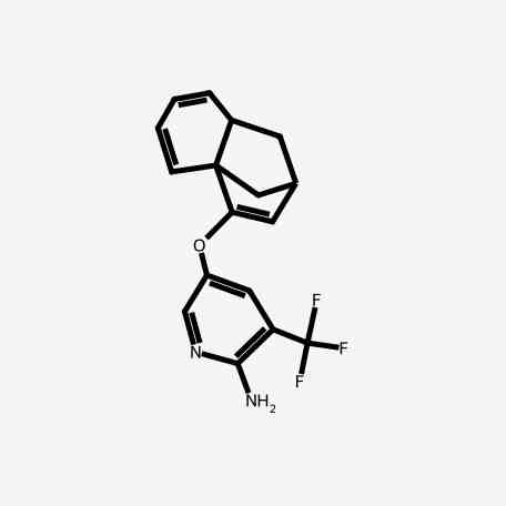 Nc1ncc(OC2=CC3CC4C=CC=CC24C3)cc1C(F)(F)F